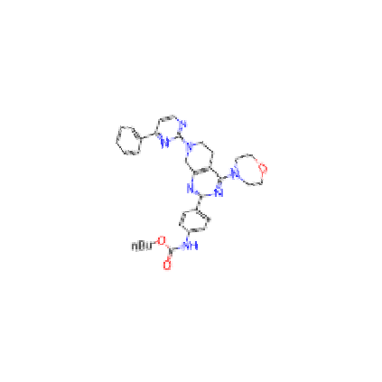 CCCCOC(=O)Nc1ccc(-c2nc3c(c(N4CCOCC4)n2)CCN(c2nccc(-c4ccccc4)n2)C3)cc1